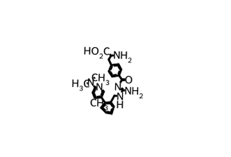 Cc1cc(N(C)C)ncc1-c1ccccc1CNC(N)=NC(=O)c1ccc(CC(N)C(=O)O)cc1